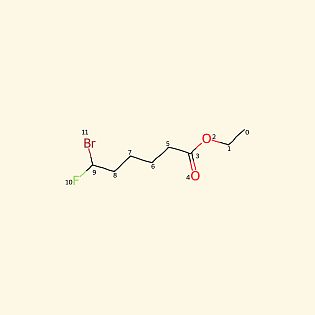 CCOC(=O)CCCCC(F)Br